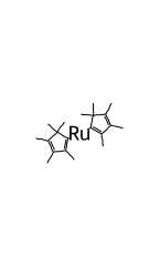 CC1=C(C)C(C)(C)[C]([Ru][C]2=C(C)C(C)=C(C)C2(C)C)=C1C